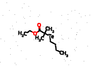 CCCC[Te]C(C)(C)C(=O)OCC